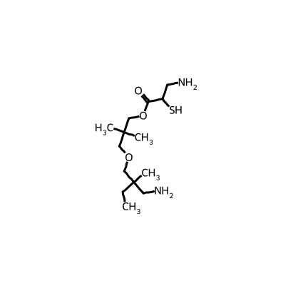 CCC(C)(CN)COCC(C)(C)COC(=O)C(S)CN